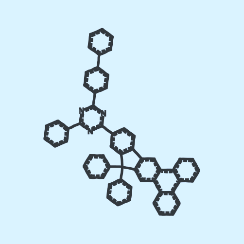 c1ccc(-c2ccc(-c3nc(-c4ccccc4)nc(-c4ccc5c(c4)C(c4ccccc4)(c4ccccc4)c4cc6c7ccccc7c7ccccc7c6cc4-5)n3)cc2)cc1